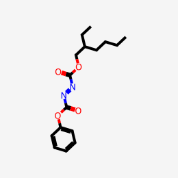 CCCCC(CC)COC(=O)N=NC(=O)Oc1ccccc1